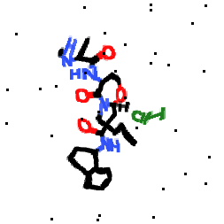 C=CCC1(C(=O)N[C@@H]2CCCc3ccccc32)C[C@@H]2OCC[C@H](NC(=O)C(C)NC)C(=O)N2C1.Cl